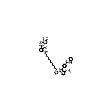 Nc1nccn2c([C@@H]3CCCN3CCCCCCCCCCCCNc3cccc4c3C(=O)N(C3CCC(=O)NC3=O)C4=O)nc(-c3ccc(C(=O)Nc4ccccn4)cc3)c12